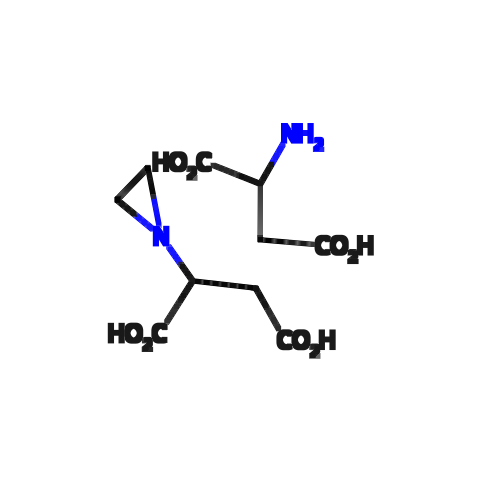 NC(CC(=O)O)C(=O)O.O=C(O)CC(C(=O)O)N1CC1